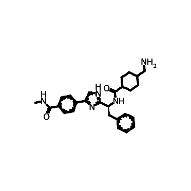 CNC(=O)c1ccc(-c2c[nH]c([C@H](Cc3ccccc3)NC(=O)C3CCC(CN)CC3)n2)cc1